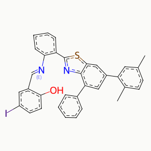 Cc1ccc(C)c(-c2cc(-c3ccccc3)c3nc(-c4ccccc4/N=C/c4cc(I)ccc4O)sc3c2)c1